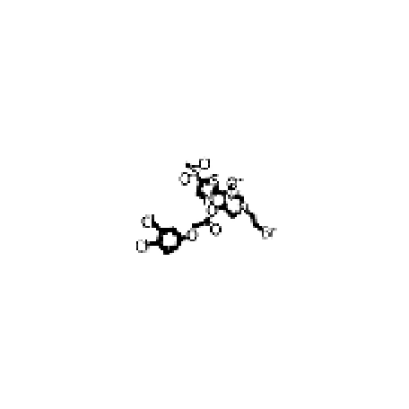 CS(=O)(=O)c1cnc([N+]2([O-])CN(CCBr)CC2OC(=O)COc2ccc(Cl)c(Cl)c2)s1